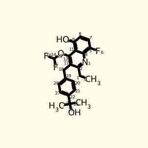 CCc1nc2c(F)ccc(O)c2c(OC(F)F)c1Cc1ccc(C(C)(C)O)cc1